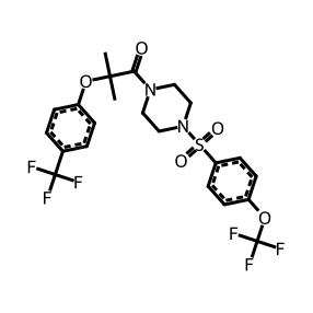 CC(C)(Oc1ccc(C(F)(F)F)cc1)C(=O)N1CCN(S(=O)(=O)c2ccc(OC(F)(F)F)cc2)CC1